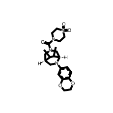 CC1C(C)[C@H]2CN(C(=O)N3CCS(=O)(=O)CC3)C[C@@H]1CN2c1ccc2c(c1)OCCO2